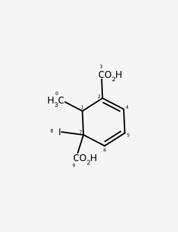 CC1C(C(=O)O)=CC=CC1(I)C(=O)O